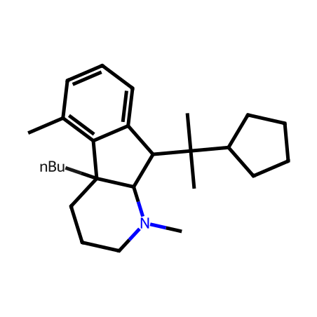 CCCCC12CCCN(C)C1C(C(C)(C)C1CCCC1)c1cccc(C)c12